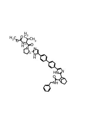 COC(=O)N[C@H](C(=O)N1CCC[C@H]1c1ncc(-c2ccc(-c3ccc(-c4cnc(C5C6CCC(C6)C5C(=O)NCc5ccccc5)[nH]4)cc3)cc2)[nH]1)C(C)C